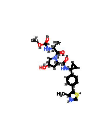 Cc1ncsc1-c1ccc(C2(NC(=O)[C@@H]3C[C@@H](O)CN3C(=O)[C@@H](NC(=O)OC(C)(C)C)C(C)C)CC2)cc1